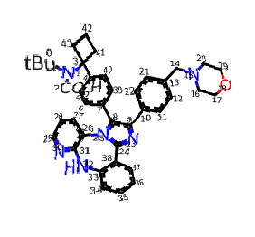 CC(C)(C)N(C(=O)O)C1(c2ccc(-c3c(-c4ccc(CN5CCOCC5)cc4)nc4n3-c3cccnc3Nc3ccccc3-4)cc2)CCC1